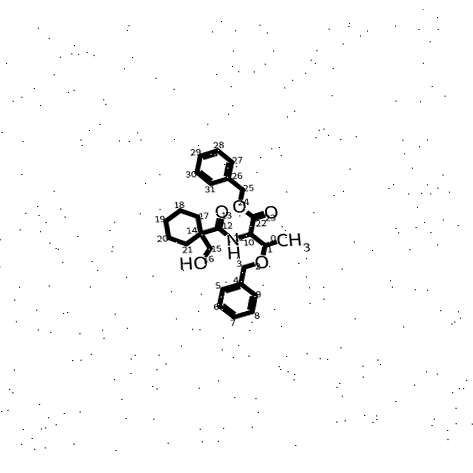 CC(OCc1ccccc1)C(NC(=O)C1(CO)CCCCC1)C(=O)OCc1ccccc1